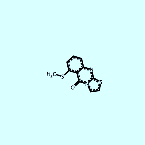 CSc1cccc2nc3sccn3c(=O)c12